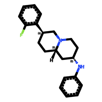 Fc1ccccc1[C@@H]1CC[C@H]2C[C@@H](Nc3ccccc3)CCN2C1